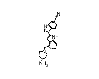 N#Cc1ccc2c(-c3cc4c(CN5CCC(N)CC5)cccc4[nH]3)n[nH]c2c1